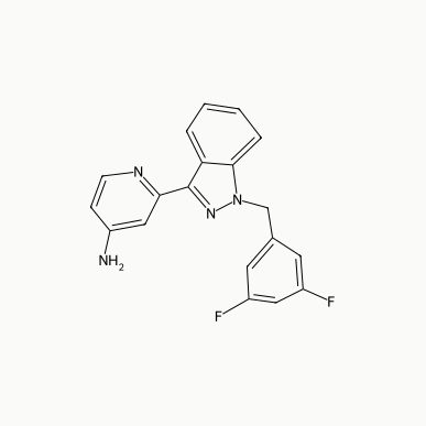 Nc1ccnc(-c2nn(Cc3cc(F)cc(F)c3)c3ccccc23)c1